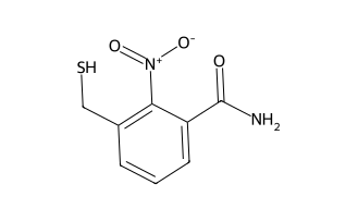 NC(=O)c1cccc(CS)c1[N+](=O)[O-]